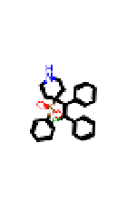 O=S(=O)(c1ccccc1)C1(C(c2ccccc2)C(F)c2ccccc2)CCNCC1